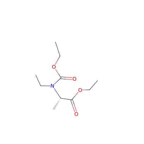 CCOC(=O)[C@H](C)N(CC)C(=O)OCC